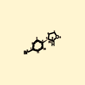 Brc1ccc([C@@H]2CCON2)cc1